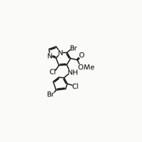 COC(=O)c1c(Nc2ccc(Br)cc2Cl)c(Cl)c2nccn2c1Br